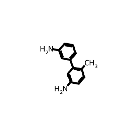 Cc1ccc(N)cc1-c1cccc(N)c1